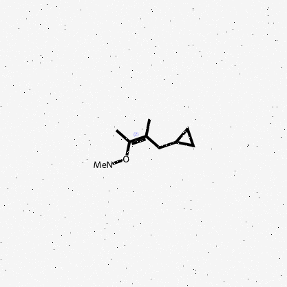 CNO/C(C)=C(/C)CC1CC1